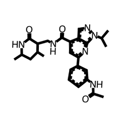 CC(=O)Nc1cccc(-c2cc(C(=O)NCC3C(=O)NC(C)CC3C)c3cnn(C(C)C)c3n2)c1